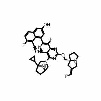 C#Cc1c(F)ccc2cc(O)cc(-c3ncc4c(N5CC6CCC(C7CC7)(C5)N6)nc(OC[C@@]56CCCN5C/C(=C/F)C6)nc4c3F)c12